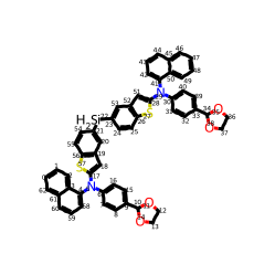 c1ccc2c(N(c3ccc(C4OCCO4)cc3)c3cc4cc([SiH2]c5ccc6sc(N(c7ccc(C8OCCO8)cc7)c7cccc8ccccc78)cc6c5)ccc4s3)cccc2c1